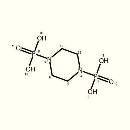 O=P(O)(O)N1CCN(P(=O)(O)O)CC1